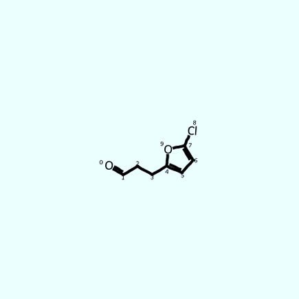 O=CCCc1ccc(Cl)o1